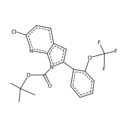 CC(C)(C)OC(=O)n1c(-c2ccccc2OC(F)(F)F)cc2ccc(Cl)nc21